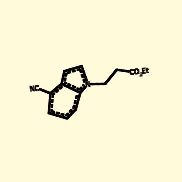 CCOC(=O)CCn1ccc2c(C#N)cccc21